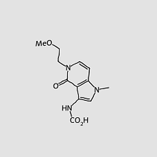 COCCn1ccc2c(c(NC(=O)O)cn2C)c1=O